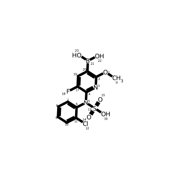 COc1nc(N(c2ccccc2Cl)S(=O)(=O)O)c(F)cc1B(O)O